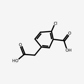 O=C(O)Cc1ccc(Cl)c(C(=O)O)c1